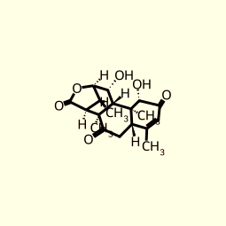 CC1=CC(=O)[C@@H](O)[C@@]2(C)[C@H]1CC(=O)[C@@]1(C)[C@H]3C(=O)O[C@H]([C@@H]3C)[C@H](O)[C@@H]12